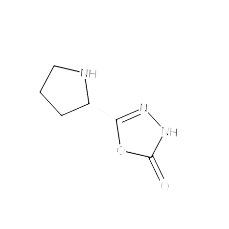 O=c1[nH]nc([C@@H]2CCCN2)o1